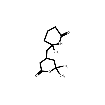 CC1(CC2CC(=O)OC(C)(C)C2)CCCC(=O)N1